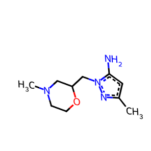 Cc1cc(N)n(CC2CN(C)CCO2)n1